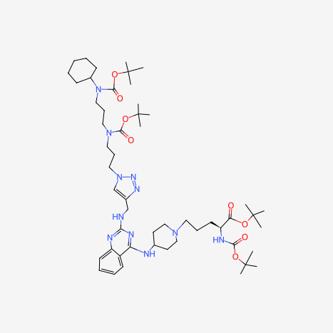 CC(C)(C)OC(=O)N[C@@H](CCCN1CCC(Nc2nc(NCc3cn(CCCN(CCCN(C(=O)OC(C)(C)C)C4CCCCC4)C(=O)OC(C)(C)C)nn3)nc3ccccc23)CC1)C(=O)OC(C)(C)C